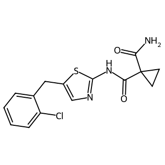 NC(=O)C1(C(=O)Nc2ncc(Cc3ccccc3Cl)s2)CC1